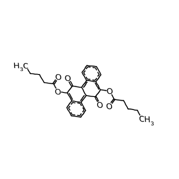 CCCCC(=O)OC1=c2ccccc2=C2C(=O)C(OC(=O)CCCC)=c3ccccc3=C2C1=O